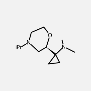 CC(C)N1CCO[C@@H](C2(N(C)C)CC2)C1